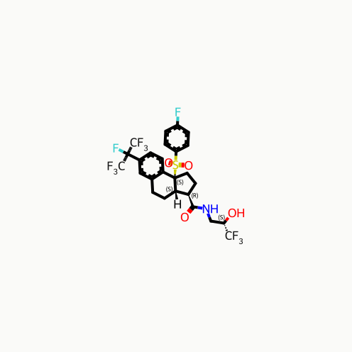 O=C(NC[C@H](O)C(F)(F)F)[C@@H]1CC[C@@]2(S(=O)(=O)c3ccc(F)cc3)c3ccc(C(F)(C(F)(F)F)C(F)(F)F)cc3CC[C@@H]12